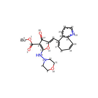 CCC(C)OC(=O)C1=C(NN2CCOCC2)O/C(=C\C2=CCC=Cc3ncccc32)C1=O